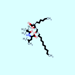 CCCCCCCCCCC[C@@H](C[C@@H]1OC(=O)[C@H]1CCCCCC)OC(=O)C(CC(C)C)NC(=O)C(C)(C)C